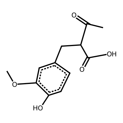 COc1cc(CC(C(C)=O)C(=O)O)ccc1O